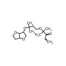 C=CC(=O)C(C)(C)OCCC(C)(C)OC1COC2CCOC21